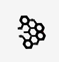 CCCCc1ccccc1P(c1ccccc1CCCC)C(C)P(c1ccccc1CCCC)c1ccccc1CCCC